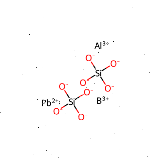 [Al+3].[B+3].[O-][Si]([O-])([O-])[O-].[O-][Si]([O-])([O-])[O-].[Pb+2]